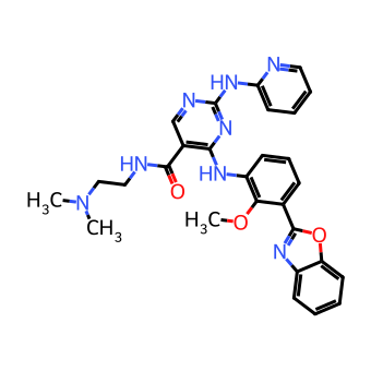 COc1c(Nc2nc(Nc3ccccn3)ncc2C(=O)NCCN(C)C)cccc1-c1nc2ccccc2o1